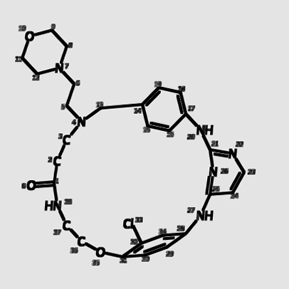 O=C1CCN(CCN2CCOCC2)Cc2ccc(cc2)Nc2nccc(n2)Nc2ccc(c(Cl)c2)OCCN1